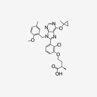 COc1ccc(C)cc1Cn1c(-c2cccc(OCC[C@@H](C)C(=O)O)c2Cl)nc2c(OC3(C)CC3)ncnc21